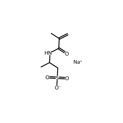 C=C(C)C(=O)NC(C)CS(=O)(=O)[O-].[Na+]